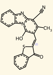 Cc1c(/C=C2\Sc3ccccc3C2=O)c(O)n2c(nc3ccccc32)c1C#N